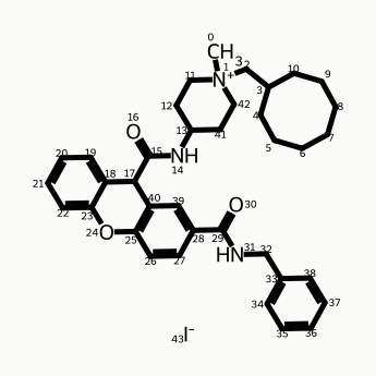 C[N+]1(CC2CCCCCCC2)CCC(NC(=O)C2c3ccccc3Oc3ccc(C(=O)NCc4ccccc4)cc32)CC1.[I-]